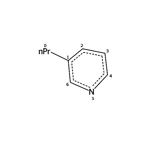 C[CH]Cc1cccnc1